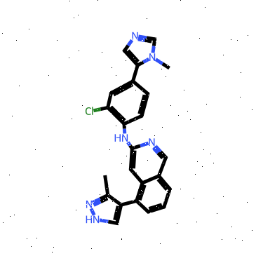 Cc1n[nH]cc1-c1cccc2cnc(Nc3ccc(-c4cncn4C)cc3Cl)cc12